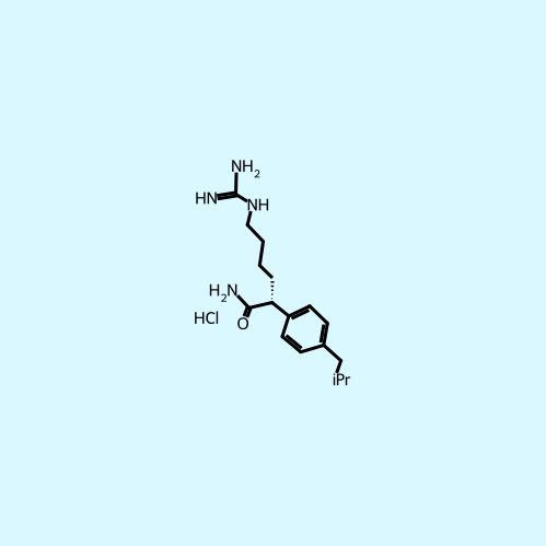 CC(C)Cc1ccc([C@@H](CCCCNC(=N)N)C(N)=O)cc1.Cl